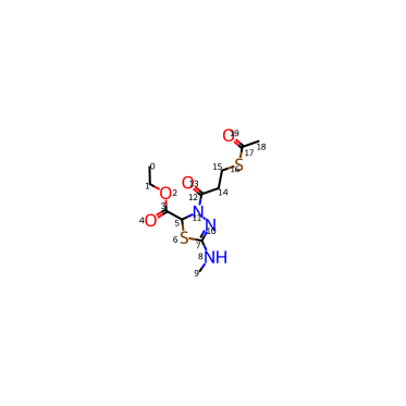 CCOC(=O)C1SC(NC)=NN1C(=O)CCSC(C)=O